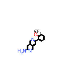 Nc1cc2cnc(-c3ccccc3OC(F)(F)F)cc2cn1